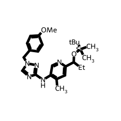 CCC(O[Si](C)(C)C(C)(C)C)c1cc(C)c(Nc2ncn(Cc3ccc(OC)cc3)n2)cn1